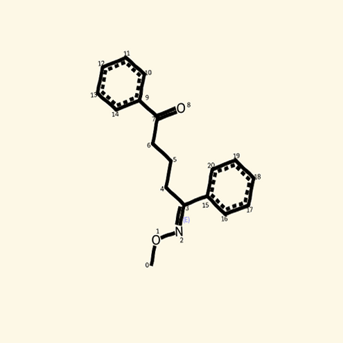 CO/N=C(\CCCC(=O)c1ccccc1)c1ccccc1